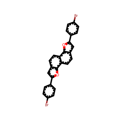 Brc1ccc(-c2cc3ccc4c(ccc5cc(-c6ccc(Br)cc6)oc54)c3o2)cc1